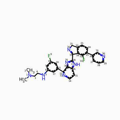 CN(C)CCNc1cc(F)cc(-c2nccc3[nH]c(C4=NCc5ccc(-c6cccnc6)c(F)c54)nc23)c1